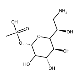 CP(=O)(O)O[C@@H]1OC([C@H](O)CN)[C@@H](O)[C@H](O)C1O